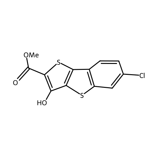 COC(=O)c1sc2c(sc3cc(Cl)ccc32)c1O